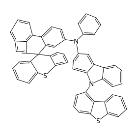 c1ccc(N(c2ccc3c(c2)C2(c4ccccc4Sc4ccccc42)c2cccc4cccc-3c24)c2ccc3c(c2)c2ccccc2n3-c2cccc3sc4ccccc4c23)cc1